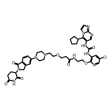 O=C(CCOCCN1CCN(c2ccc3c(c2)CN(C2CCC(=O)NC2=O)C3=O)CC1)NCCOc1ncc(Cl)cc1NC(=O)Nc1cnc2nccn2c1C1CCCC1